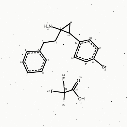 NC1(CCc2ccccc2)CC1c1ccc(Br)cc1.O=C(O)C(F)(F)F